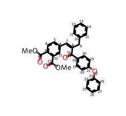 COC(=O)c1ccc(C=C(Cc2ccccc2)C(=O)c2ccc(Oc3ccccc3)cc2)cc1C(=O)OC